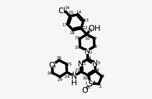 [O-][S+]1CCc2nc(N3CCC(O)(c4ccc(Cl)cc4)CC3)nc(NC3CCOCC3)c21